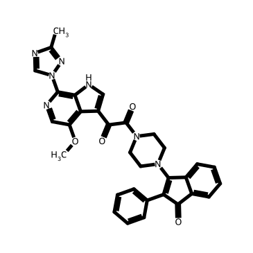 COc1cnc(-n2cnc(C)n2)c2[nH]cc(C(=O)C(=O)N3CCN(C4=C(c5ccccc5)C(=O)c5ccccc54)CC3)c12